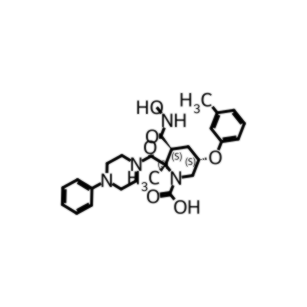 Cc1cccc(O[C@H]2C[C@H](C(=O)NO)[C@@](C)(C(=O)N3CCN(c4ccccc4)CC3)N(C(=O)O)C2)c1